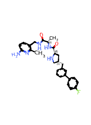 Cc1nc(N)ccc1CNC(=O)[C@H](C)NC(=O)[C@H]1C[C@H](Cc2cccc(-c3ccc(F)cc3)c2)CN1